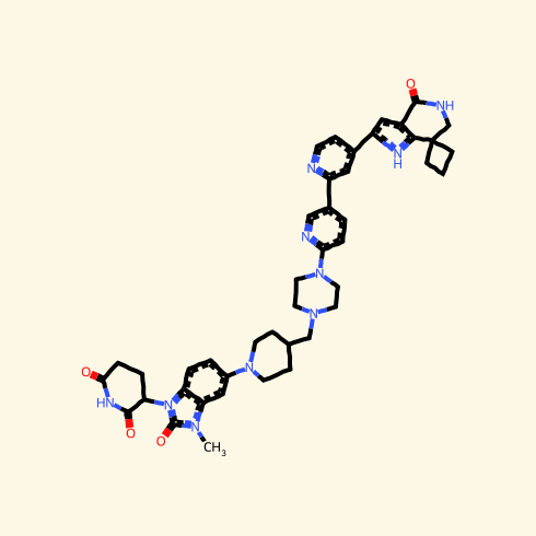 Cn1c(=O)n(C2CCC(=O)NC2=O)c2ccc(N3CCC(CN4CCN(c5ccc(-c6cc(-c7cc8c([nH]7)C7(CCC7)CNC8=O)ccn6)cn5)CC4)CC3)cc21